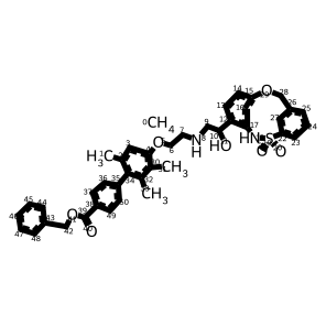 C.Cc1cc(OCCNCC(O)c2ccc3cc2NS(=O)(=O)c2cccc(c2)CO3)c(C)c(C)c1-c1ccc(C(=O)OCc2ccccc2)cc1